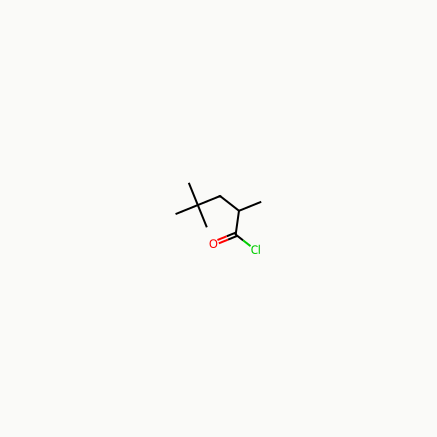 CC(CC(C)(C)C)C(=O)Cl